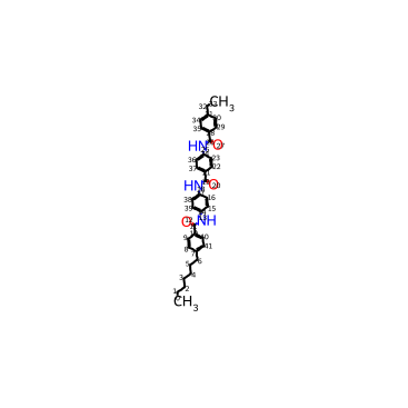 CCCCCCCc1ccc(C(=O)Nc2ccc(NC(=O)c3ccc(NC(=O)c4ccc(CC)cc4)cc3)cc2)cc1